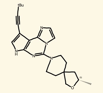 C[C@H]1CC2(CCN(c3nc4[nH]cc(C#CC(C)(C)C)c4c4nccn34)CC2)CO1